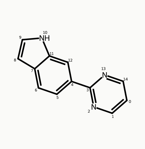 c1cnc(-c2ccc3cc[nH]c3c2)nc1